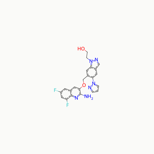 Nc1nc2c(F)cc(F)cc2cc1OCc1cc2c(cnn2CCO)cc1-n1cccn1